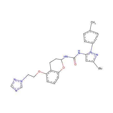 Cc1ccc(-n2nc(C(C)(C)C)cc2NC(=O)NC2CCc3c(OCCn4cncn4)cccc3O2)cc1